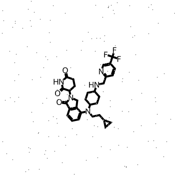 O=C1CCC(N2Cc3c(cccc3N(CCC3CC3)C3CCC(NCc4ccc(C(F)(F)F)cn4)CC3)C2=O)C(=O)N1